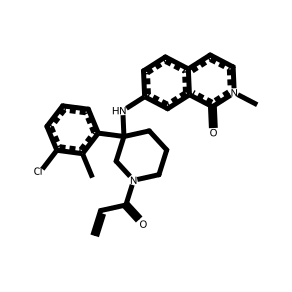 C=CC(=O)N1CCCC(Nc2ccc3ccn(C)c(=O)c3c2)(c2cccc(Cl)c2C)C1